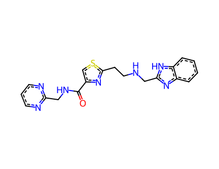 O=C(NCc1ncccn1)c1csc(CCNCc2nc3ccccc3[nH]2)n1